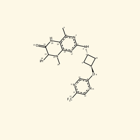 Cc1nc(N[C@H]2C[C@H](Oc3cnc(C(F)(F)F)cn3)C2)nc2c1NC(=O)C(C(C)C)N2C